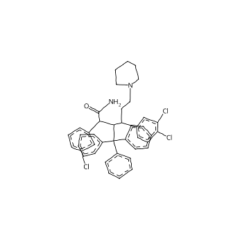 NC(=O)C(c1cccc(Cl)c1)C(C(CCN1CCCCC1)c1ccc(Cl)c(Cl)c1)C(c1ccccc1)(c1ccccc1)c1ccccc1